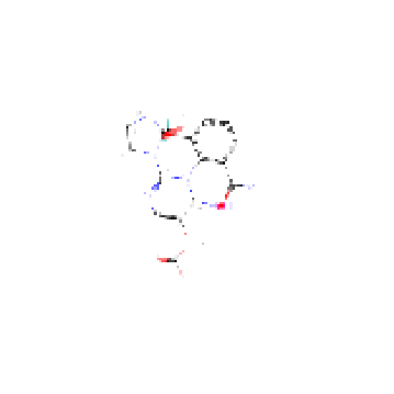 NC(=O)c1cccc(C(F)(F)F)c1N1C(N2CCNC2=O)=NC=C(OC(=O)O)C1N